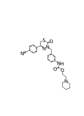 N#Cc1ccc(C2=NN(Cc3cccc(NC(=O)OCCN4CCCCC4)c3)C(=O)SC2)cc1